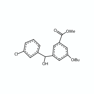 COC(=O)c1cc(OCC(C)C)cc(C(O)c2cccc(Cl)c2)c1